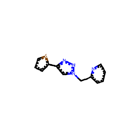 c1ccc(Cn2cc(-c3cccs3)nn2)nc1